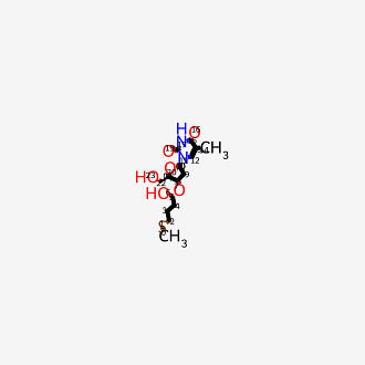 CSCCCC(O)OC1C[C@H](n2cc(C)c(=O)[nH]c2=O)O[C@@H]1CO